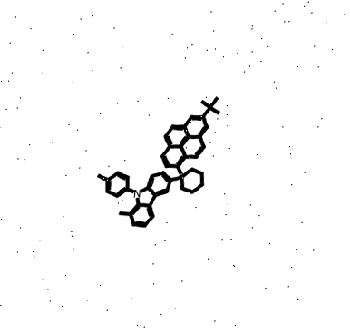 Cc1ccc(-n2c3ccc(C4(c5ccc6ccc7cc(C(C)(C)C)cc8ccc5c6c78)CCCCC4)cc3c3cccc(C)c32)cc1